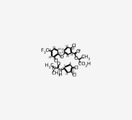 CN(C)C(=O)Nc1ccc(Cl)c(Cl)c1.C[C@H](OC(=O)c1cc(Oc2ccc(C(F)(F)F)cc2Cl)ccc1Cl)C(=O)O